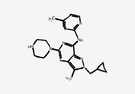 Cc1ccnc(Nc2nc(N3CCNCC3)nc3c(C)n(CC4CC4)nc23)c1